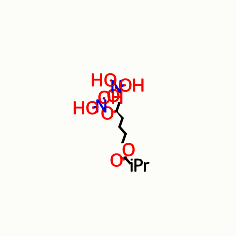 CC(C)C(=O)OCCCC[C@H](CON(O)O)ON(O)O